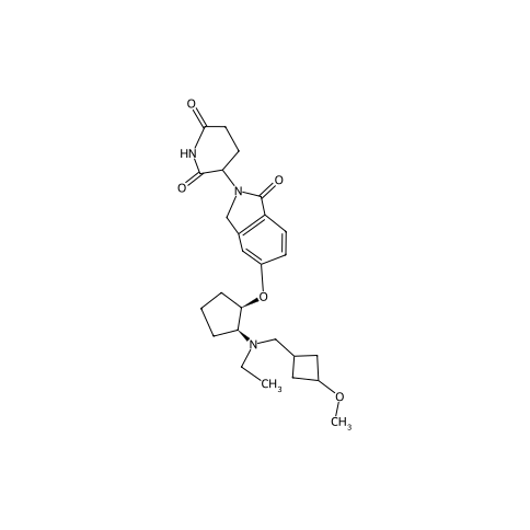 CCN(CC1CC(OC)C1)[C@H]1CCC[C@H]1Oc1ccc2c(c1)CN(C1CCC(=O)NC1=O)C2=O